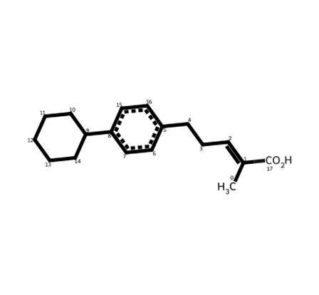 C/C(=C\CCc1ccc(C2CCCCC2)cc1)C(=O)O